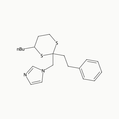 CCCCC1CCSC(CCc2ccccc2)(Cn2ccnc2)S1